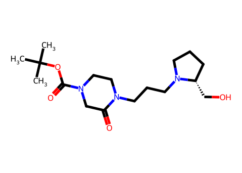 CC(C)(C)OC(=O)N1CCN(CCCN2CCC[C@@H]2CO)C(=O)C1